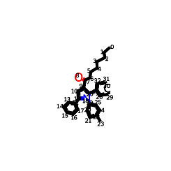 CCCCCCCC(=O)c1cc(-c2ccccc2)n(-c2ccc(C)cc2)c1-c1ccccc1